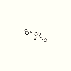 O=CC(=O)C1C(=CCCc2ccccc2)SCN1CCCCSc1cccc2nccn12